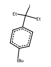 CCC(I)(CC)c1ccc(C(C)(C)C)cc1